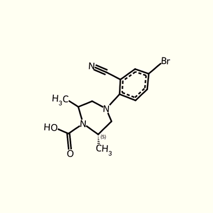 CC1CN(c2ccc(Br)cc2C#N)C[C@H](C)N1C(=O)O